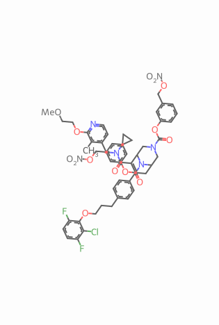 COCCOc1nccc(CN(C(=O)C2=C(c3ccc(CCCOc4c(F)ccc(F)c4Cl)cc3)CC3CN(C(=O)Oc4cccc(CO[N+](=O)[O-])c4)CC2N3C(=O)Oc2cccc(CO[N+](=O)[O-])c2)C2CC2)c1C